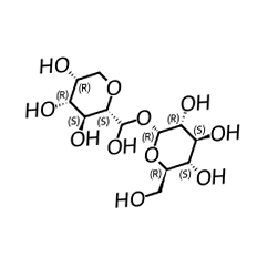 OC[C@H]1O[C@H](OC(O)[C@H]2OC[C@@H](O)[C@@H](O)[C@@H]2O)[C@H](O)[C@@H](O)[C@@H]1O